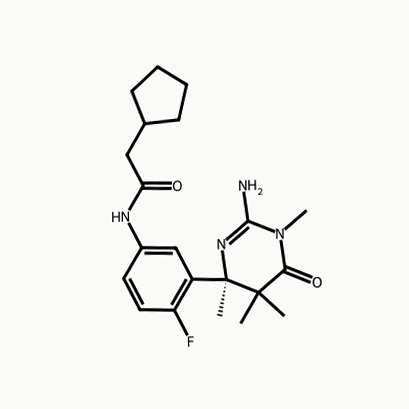 CN1C(=O)C(C)(C)[C@@](C)(c2cc(NC(=O)CC3CCCC3)ccc2F)N=C1N